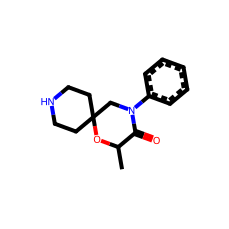 CC1OC2(CCNCC2)CN(c2ccccc2)C1=O